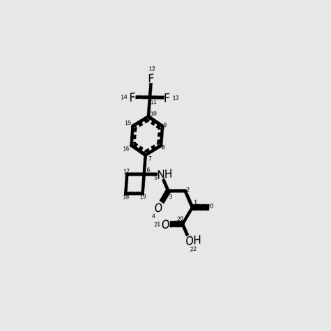 C=C(CC(=O)NC1(c2ccc(C(F)(F)F)cc2)CCC1)C(=O)O